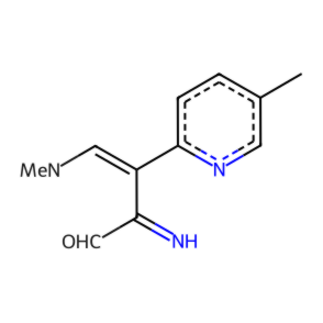 CN/C=C(\C(=N)C=O)c1ccc(C)cn1